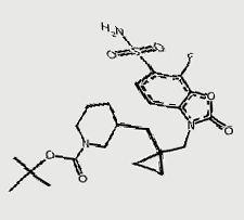 CC(C)(C)OC(=O)N1CCCC(CC2(Cn3c(=O)oc4c(F)c(S(N)(=O)=O)ccc43)CC2)C1